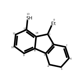 CCC1C2=C(CCC=C2)c2cccc(S)c21